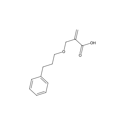 C=C(COCCCc1ccccc1)C(=O)O